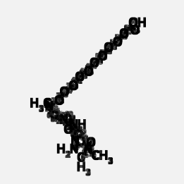 CCCN(CCC)C(=O)C1=Cc2ccc(C(=O)N[C@@H]3CCCN(Cc4ccc(CN(C)CCOCCOCCOCCOCCOCCOCCOCCOCCOCCOCCC(=O)O)cc4)C3)cc2N=C(N)C1